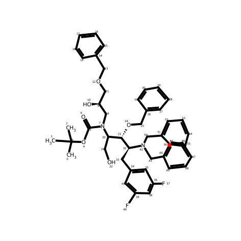 CC(C)(C)OC(=O)N(C[C@@H](O)COCc1ccccc1)C(CO)[C@H](OCc1ccccc1)[C@H](Cc1cc(F)cc(F)c1)N(Cc1ccccc1)Cc1ccccc1